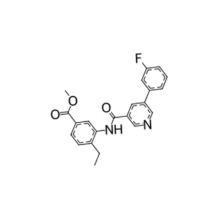 CCc1ccc(C(=O)OC)cc1NC(=O)c1cncc(-c2cccc(F)c2)c1